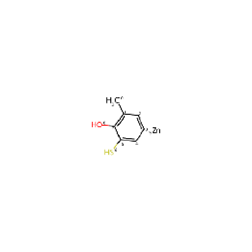 Cc1cccc(S)c1O.[Zn]